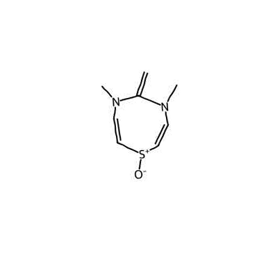 C=C1N(C)/C=C\[S+]([O-])/C=C\N1C